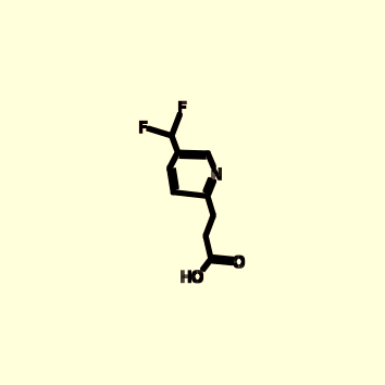 O=C(O)CCc1ccc(C(F)F)cn1